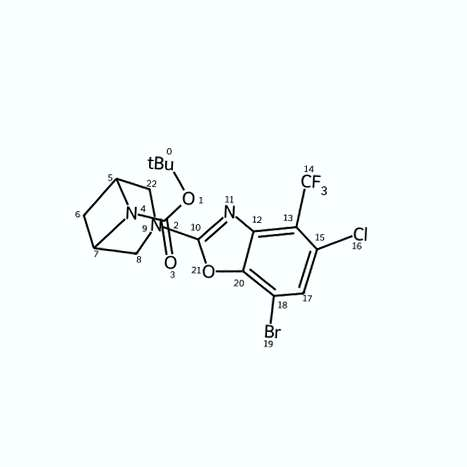 CC(C)(C)OC(=O)N1C2CC1CN(c1nc3c(C(F)(F)F)c(Cl)cc(Br)c3o1)C2